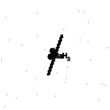 CCCCCCCCCCCCOCCCCCCCCCCCC.[BaH2].c1ccc(-c2ccccc2)cc1